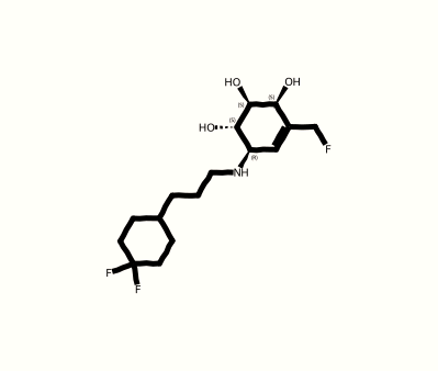 O[C@@H]1[C@@H](O)[C@@H](O)C(CF)=C[C@H]1NCCCC1CCC(F)(F)CC1